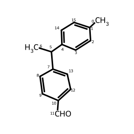 Cc1ccc(C(C)c2ccc(C=O)cc2)cc1